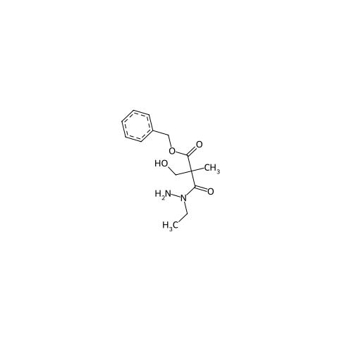 CCN(N)C(=O)C(C)(CO)C(=O)OCc1ccccc1